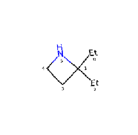 CCC1(CC)CCN1